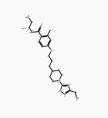 Cc1cc(OCCCC2CCN(c3nc(CC(C)C)no3)CC2)ccc1C(=O)N[C@H](C)CO